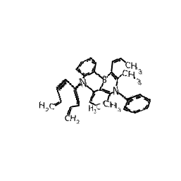 C=C/C=C\C(=C/C=C)N1/C(=C/C)C2=C(C)N(c3ccccc3)C(C)=C(/C=C\C)B2c2ccccc21